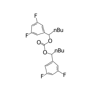 CCCCC(OC(=O)OC(CCCC)c1cc(F)cc(F)c1)c1cc(F)cc(F)c1